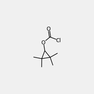 CC1(C)C(OC(=O)Cl)C1(C)C